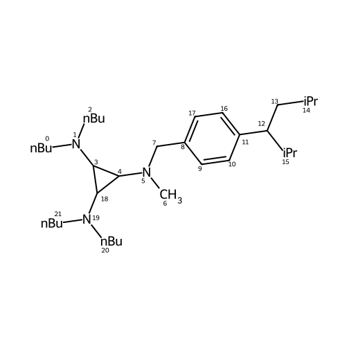 CCCCN(CCCC)C1C(N(C)Cc2ccc(C(CC(C)C)C(C)C)cc2)C1N(CCCC)CCCC